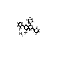 COc1cc(-c2ccccc2F)cc2c(N3CCOCC3)nc(-c3cccnc3)nc12